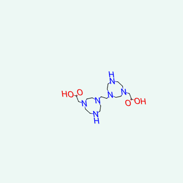 O=C(O)CN1CCNCCN(CCN2CCNCCN(CC(=O)O)CC2)CC1